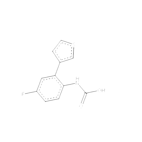 O=C(O)Nc1ccc(F)cc1-c1ccsc1